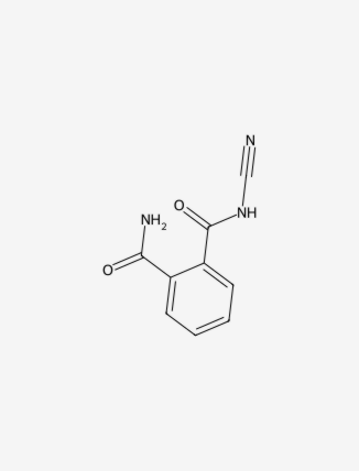 N#CNC(=O)c1ccccc1C(N)=O